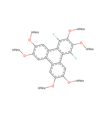 CCCCCCOc1cc2c3cc(OCCCCCC)c(OCCCCCC)cc3c3c(F)c(OCCCCCC)c(OCCCCCC)c(F)c3c2cc1OCCCCCC